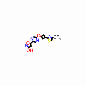 Oc1cc(-c2cnc(OC3CC(c4nc(C(F)(F)F)cs4)C3)cn2)on1